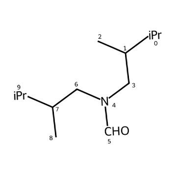 CC(C)C(C)CN(C=O)CC(C)C(C)C